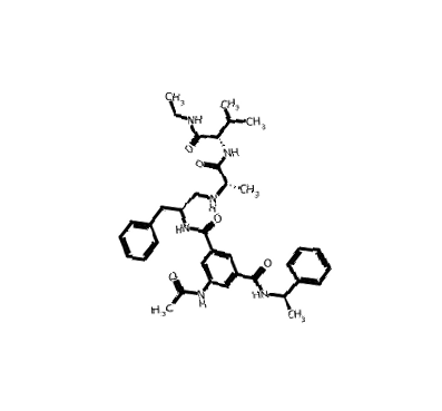 CCNC(=O)[C@@H](NC(=O)[C@H](C)NC[C@H](Cc1ccccc1)NC(=O)c1cc(NC(C)=O)cc(C(=O)N[C@H](C)c2ccccc2)c1)C(C)C